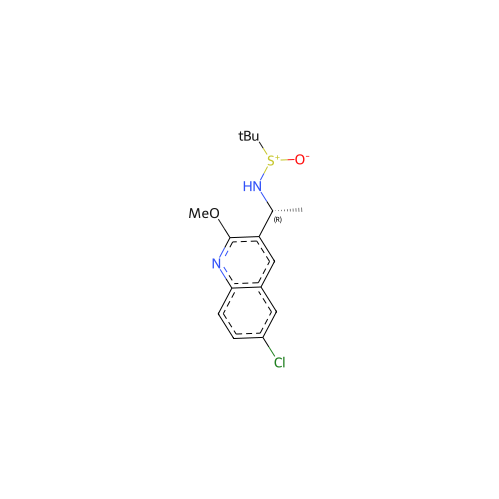 COc1nc2ccc(Cl)cc2cc1[C@@H](C)N[S+]([O-])C(C)(C)C